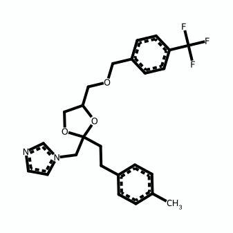 Cc1ccc(CCC2(Cn3ccnc3)OCC(COCc3ccc(C(F)(F)F)cc3)O2)cc1